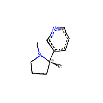 CC[C@@]1(c2cccnc2)CCCN1C